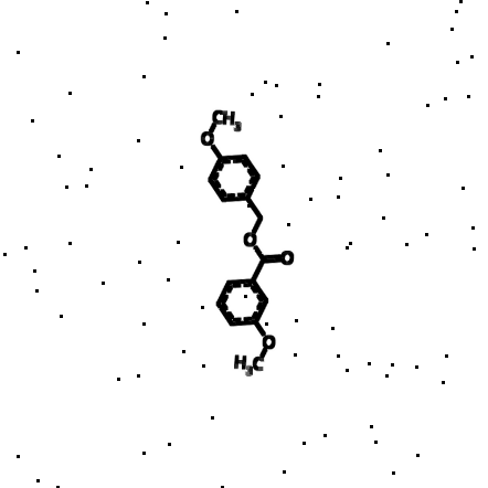 COc1ccc(COC(=O)c2cccc(OC)c2)cc1